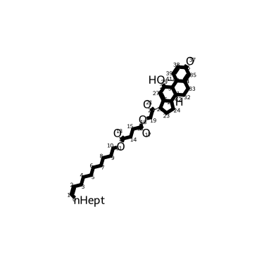 CCCCCCC/C=C\CCCCCCCCOC(=O)CCC(=O)OCC(=O)[C@H]1CCC2C1=CC(O)C1[C@H]2CCC2=CC(=O)C=C[C@@]21C